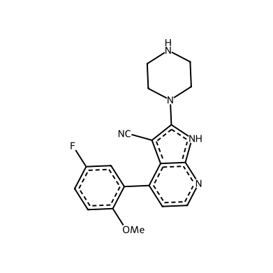 COc1ccc(F)cc1-c1ccnc2[nH]c(N3CCNCC3)c(C#N)c12